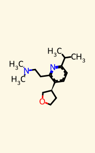 CC(C)c1ccc([C@H]2CCOC2)c(CCN(C)C)n1